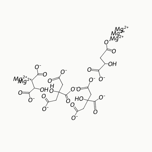 O=C([O-])CC(O)(CC(=O)[O-])C(=O)[O-].O=C([O-])CC(O)(CC(=O)[O-])C(=O)[O-].O=C([O-])CC(O)C(=O)[O-].O=C([O-])CC(O)C(=O)[O-].[Mg+2].[Mg+2].[Mg+2].[Mg+2].[Mg+2]